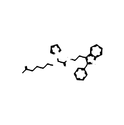 CC(=O)CCCCC[C@@H](C(=O)NCCc1c(-c2ccccc2)[nH]c2ccccc12)n1cccc1